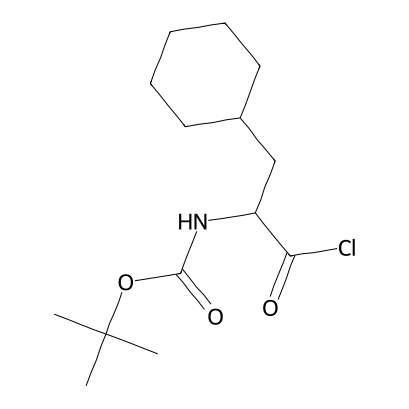 CC(C)(C)OC(=O)NC(CC1CCCCC1)C(=O)Cl